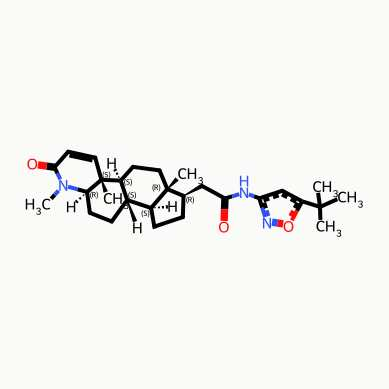 CN1C(=O)C=C[C@]2(C)[C@H]3CC[C@]4(C)[C@@H](CC(=O)Nc5cc(C(C)(C)C)on5)CC[C@H]4[C@@H]3CC[C@@H]12